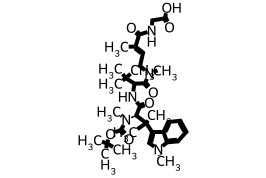 C/C(=C\CN(C)C(=O)C(NC(=O)[C@@H](N(C)C(=O)OC(C)(C)C)C(C)(C)c1cn(C)c2ccccc12)C(C)(C)C)C(=O)NCC(=O)O